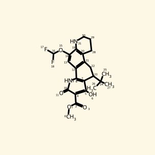 COC(=O)c1c(O)c2c([nH]c1=O)-c1cc(OC(F)F)c3c(c1CC2C(C)(C)C)CCCN3